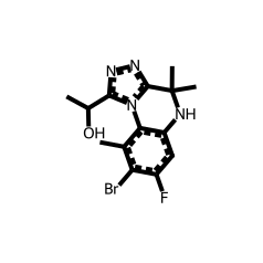 Cc1c(Br)c(F)cc2c1-n1c(C(C)O)nnc1C(C)(C)N2